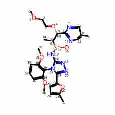 COCCO[C@H](c1ncc(C)cn1)[C@H](C)[S+]([O-])Nc1nnc(-c2ccc(C)o2)n1-c1c(OC)cccc1OC